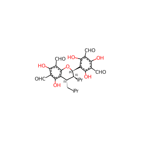 CC(C)C[C@@H]1c2c(O)c(C=O)c(O)c(C=O)c2O[C@@H](c2c(O)c(C=O)c(O)c(C=O)c2O)[C@H]1C(C)C